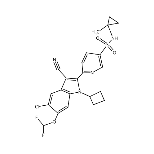 CC1(NS(=O)(=O)c2ccc(-c3c(C#N)c4cc(Cl)c(OC(F)F)cc4n3C3CCC3)nc2)CC1